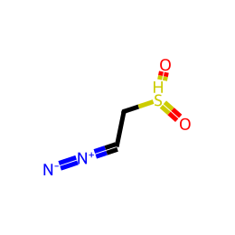 [N-]=[N+]=CC[SH](=O)=O